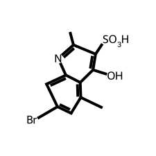 Cc1nc2cc(Br)cc(C)c2c(O)c1S(=O)(=O)O